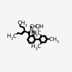 CCC=C(CCC)c1c2cccc(-c3c(C)cc(C)cc3C)c2nn1C.Cl